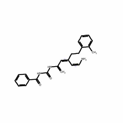 C=C(/C=C(\C=C/N)CCc1ccccc1C)NC(=O)NC(=O)c1ccccc1